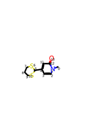 Cn1ccc(C2SCCCS2)cc1=O